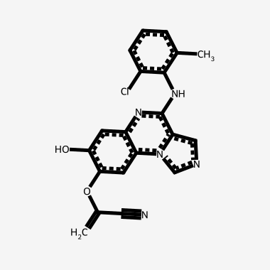 C=C(C#N)Oc1cc2c(cc1O)nc(Nc1c(C)cccc1Cl)c1cncn12